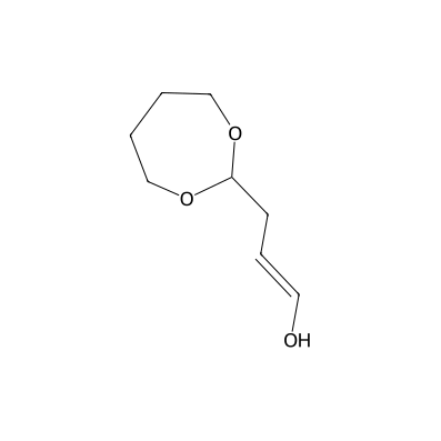 OC=CCC1OCCCCO1